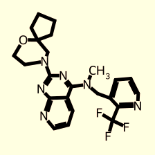 CN(Cc1cccnc1C(F)(F)F)c1nc(N2CCOC3(CCCC3)C2)nc2ncccc12